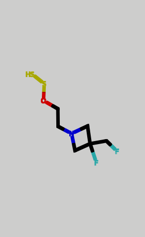 FCC1(F)CN(CCOSS)C1